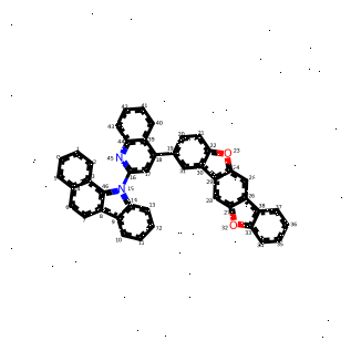 c1ccc2c(c1)ccc1c3ccccc3n(-c3cc(-c4ccc5oc6cc7c(cc6c5c4)oc4ccccc47)c4ccccc4n3)c21